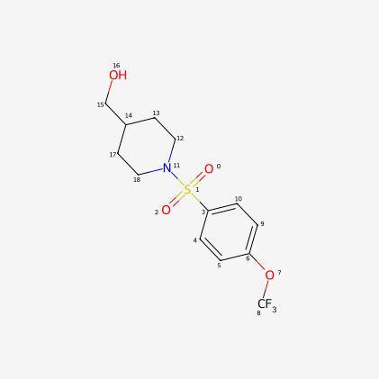 O=S(=O)(c1ccc(OC(F)(F)F)cc1)N1CCC(CO)CC1